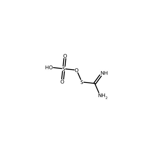 N=C(N)SOS(=O)(=O)O